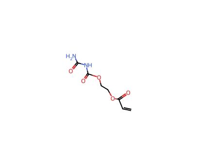 C=CC(=O)OCCOC(=O)NC(N)=O